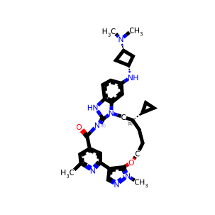 Cc1cc2cc(n1)-c1cnn(C)c1OCCC[C@@H](C1CC1)CN1/C(=N/C2=O)Nc2ccc(N[C@H]3C[C@@H](N(C)C)C3)cc21